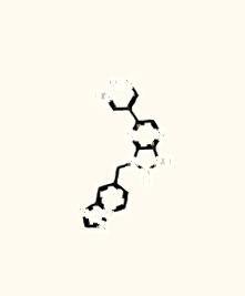 CN/C=C(\C=N)c1cnc2c(n1)N(Cc1ccn3ncnc3c1)NN2